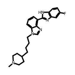 CN1CCC(CCCCn2cnc3c(-c4nc5cc(F)ccc5[nH]4)cccc32)CC1